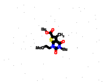 CCC(C)OC(=O)c1sc2c(c1C)c(=O)n(C(C)CC)c(=O)n2CCOC